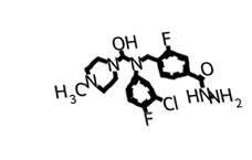 CN1CCN(C(O)N(Cc2ccc(C(=O)NN)cc2F)c2ccc(F)c(Cl)c2)CC1